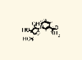 NC(=O)C1=CN([C@@H]2O[C@H](CO)[C@@H](O)[C@H]2O)CC=C1